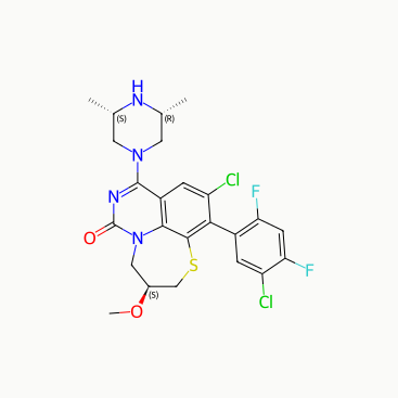 CO[C@@H]1CSc2c(-c3cc(Cl)c(F)cc3F)c(Cl)cc3c(N4C[C@@H](C)N[C@@H](C)C4)nc(=O)n(c23)C1